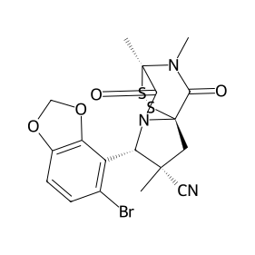 CN1C(=O)[C@]23C[C@](C)(C#N)[C@H](c4c(Br)ccc5c4OCO5)N2C(=O)[C@@]1(C)SS3